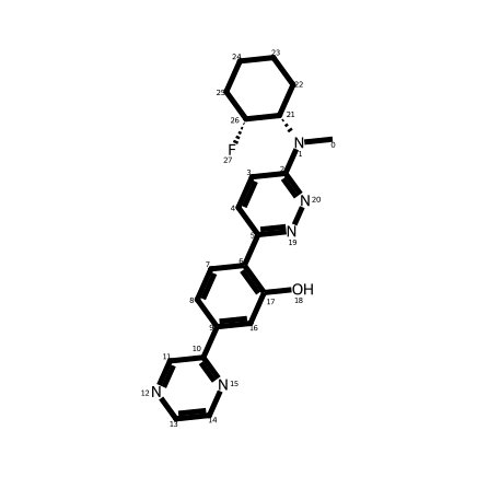 CN(c1ccc(-c2ccc(-c3cnccn3)cc2O)nn1)[C@H]1CCCC[C@H]1F